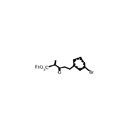 CCOC(=O)C(C)C(=O)CCc1cccc(Br)c1